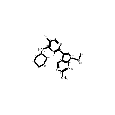 Cc1ncc2c(-c3ncc(F)c(NC4CCCCC4)n3)cn(SI)c2n1